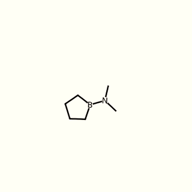 CN(C)B1CCCC1